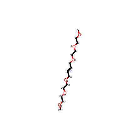 COCCOCCOC/C=C/COCCOCCOC